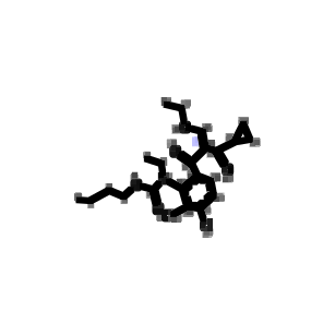 CCCCOC(=O)N(CC)c1c(C(=O)/C(=C\OCC)C(=O)C2CC2)ccc(Cl)c1Cl